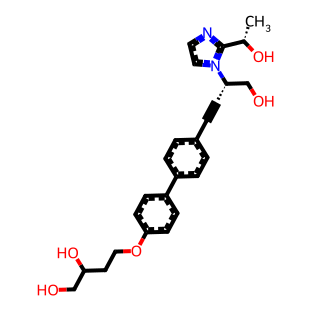 C[C@H](O)c1nccn1[C@@H](C#Cc1ccc(-c2ccc(OCCC(O)CO)cc2)cc1)CO